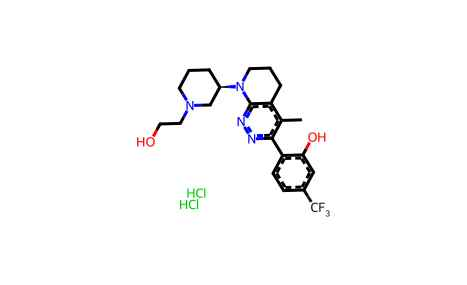 Cc1c(-c2ccc(C(F)(F)F)cc2O)nnc2c1CCCN2[C@@H]1CCCN(CCO)C1.Cl.Cl